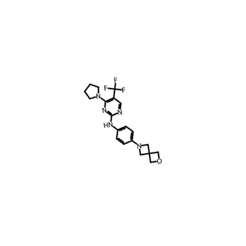 FC(F)(F)c1cnc(Nc2ccc(N3CC4(COC4)C3)cc2)nc1N1CCCC1